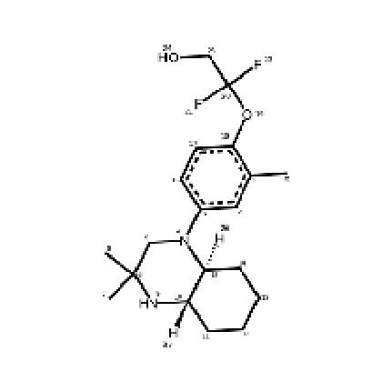 Cc1cc(N2CC(C)(C)N[C@H]3CCCC[C@@H]32)ccc1OC(F)(F)CO